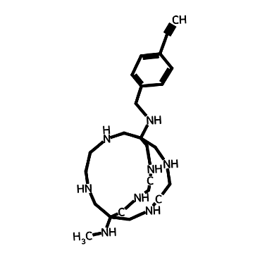 C#Cc1ccc(CNC23CNCCNCC(NC)(CNCCNC2)CNCCNC3)cc1